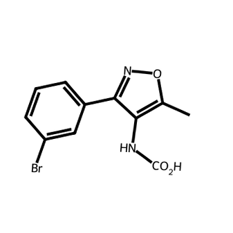 Cc1onc(-c2cccc(Br)c2)c1NC(=O)O